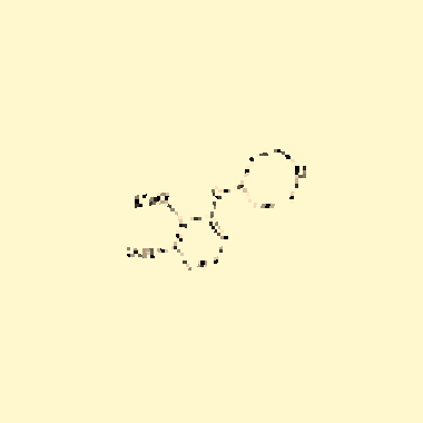 COc1c(OC2CCOCC2)cccc1[N+](=O)[O-]